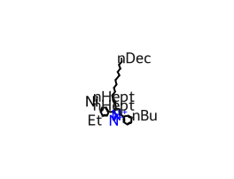 CCCCCCCCCCCCCCCCCCCCC#CC1=C(c2cccc(CC)c2)[N+](=[N-])C(c2cccc(CCCC)c2)=C1.CCCCCC[CH2][Ni][CH2]CCCCCC